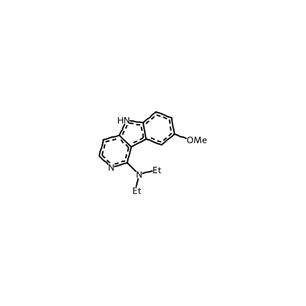 CCN(CC)c1nccc2[nH]c3ccc(OC)cc3c12